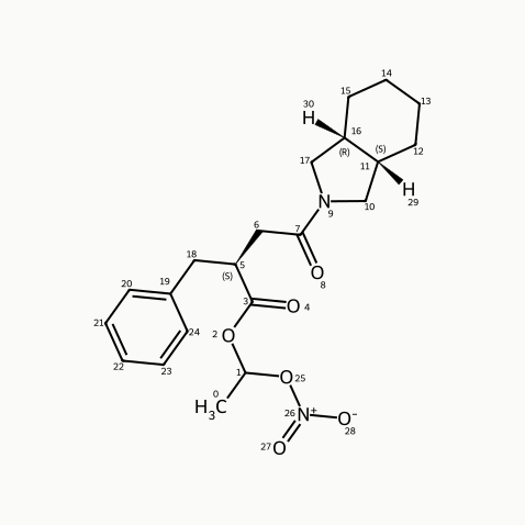 CC(OC(=O)[C@H](CC(=O)N1C[C@H]2CCCC[C@H]2C1)Cc1ccccc1)O[N+](=O)[O-]